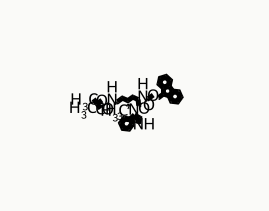 CCN(C(=O)C(CCCCNC(=O)OC(C)(C)C)NC(=O)OCC1c2ccccc2-c2ccccc21)c1c[nH]c2ccccc12